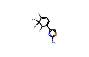 CC1(C(F)(F)F)C(F)=CC=C(c2csc(N)n2)C1F